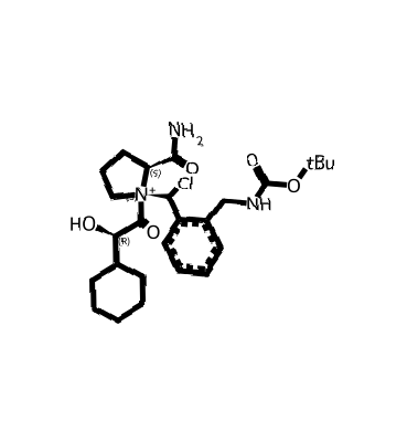 CC(C)(C)OC(=O)NCc1ccccc1C(Cl)[N@@+]1(C(=O)[C@H](O)C2CCCCC2)CCC[C@H]1C(N)=O